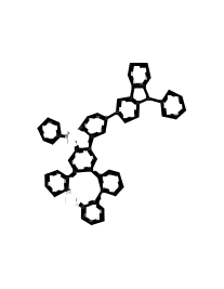 c1ccc(C2c3ccccc3-c3cc(-c4ccc5c(c4)c4cc6c(cc4n5-c4ccccc4)c4ccccc4oc4ccccc4c4ccccc46)ccc32)cc1